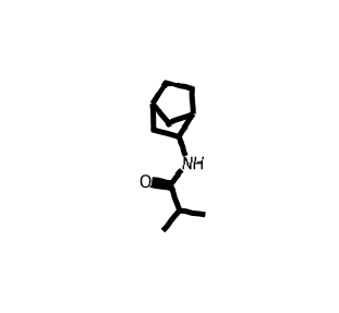 CC(C)C(=O)NC1CC2CCC1C2